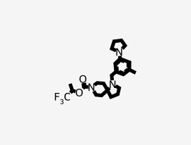 Cc1cc(CN2CCCC23CCN(C(=O)OC(C)C(F)(F)F)CC3)cc(N2CCCC2)c1